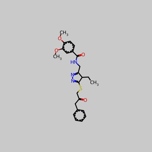 CCC1C(CNC(=O)c2ccc(OC)c(OC)c2)=NN=C1SCC(=O)Cc1ccccc1